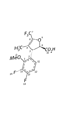 COc1c([C@@H]2C(C)=C(C(F)(F)F)O[C@H]2C(=O)O)ccc(F)c1F